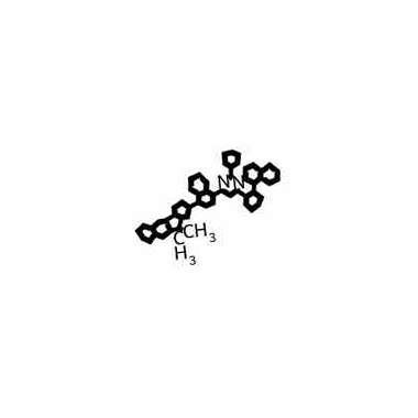 CC1(C)c2cc(-c3ccc(-c4cc(-c5ccccc5-c5cccc6ccccc56)nc(-c5ccccc5)n4)c4ccccc34)ccc2-c2cc3ccccc3cc21